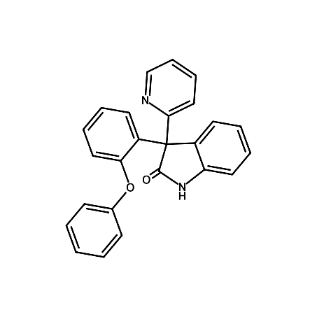 O=C1Nc2ccccc2C1(c1ccccn1)c1ccccc1Oc1ccccc1